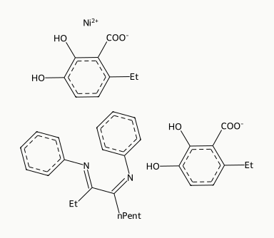 CCCCCC(=Nc1ccccc1)C(CC)=Nc1ccccc1.CCc1ccc(O)c(O)c1C(=O)[O-].CCc1ccc(O)c(O)c1C(=O)[O-].[Ni+2]